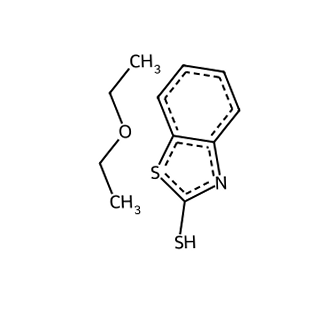 CCOCC.Sc1nc2ccccc2s1